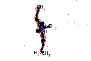 C=CC(=C)OCCCCCCOc1ccc(OC(=O)C2CCC(C(=P)Oc3cc(/C=N/N(CCCCCC)c4nc5cccnc5[nH]4)c(OC(=O)C4CCC(C(=O)Oc5ccc(OCCCCCCOC(=O)C=C)cc5)CC4)c4ccccc34)CC2)cc1